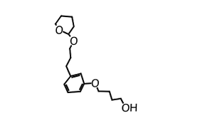 OCCCCOc1cccc(CCCOC2CCCCO2)c1